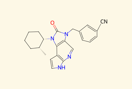 C[C@@H]1CCCC[C@@H]1n1c(=O)n(Cc2cccc(C#N)c2)c2cnc3[nH]ccc3c21